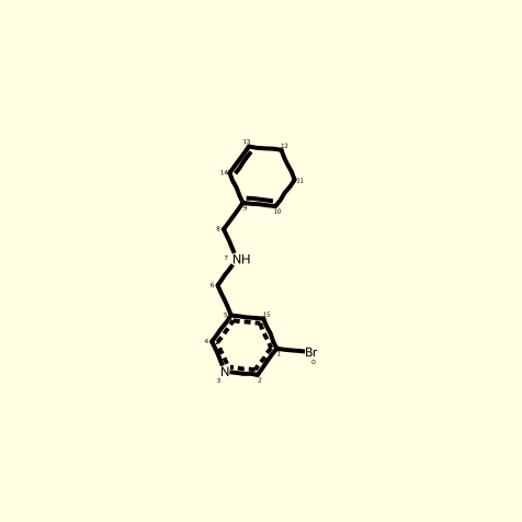 Brc1cncc(CNCC2=CCCC=C2)c1